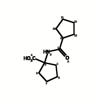 O=C(NC1(C(=O)O)CCCC1)C1CCCC1